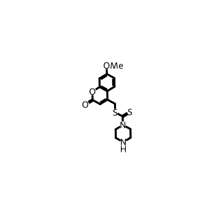 COc1ccc2c(CSC(=S)N3CCNCC3)cc(=O)oc2c1